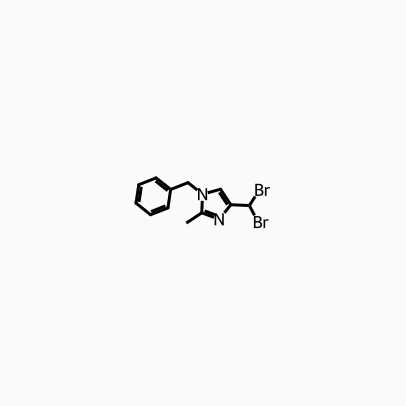 Cc1nc(C(Br)Br)cn1Cc1ccccc1